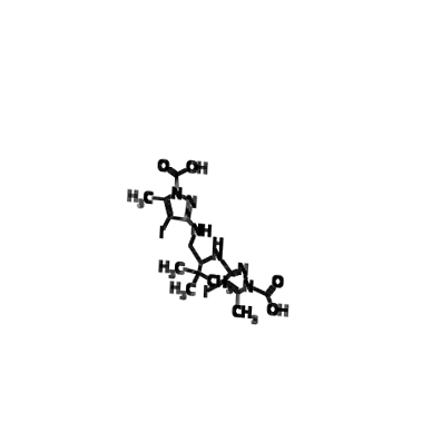 Cc1c(I)c(NCC(Nc2nn(C(=O)O)c(C)c2I)C(C)(C)C)nn1C(=O)O